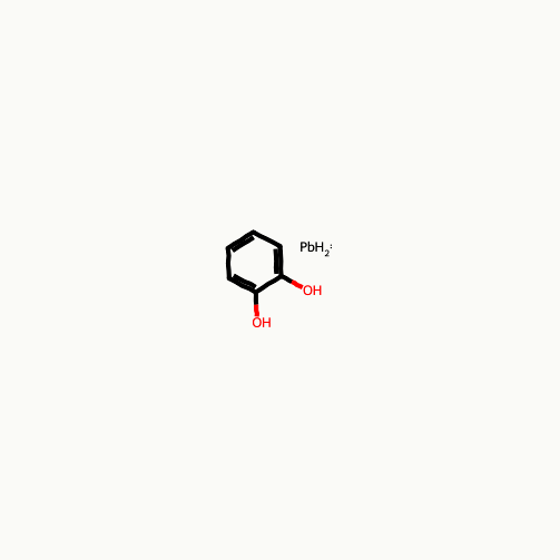 Oc1ccccc1O.[PbH2]